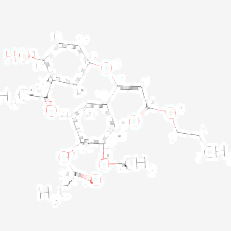 CCCOC(=O)/C=C(/Oc1ccc(O)c(C(C)=O)c1)c1ccc(OC(C)=O)c(OC)c1